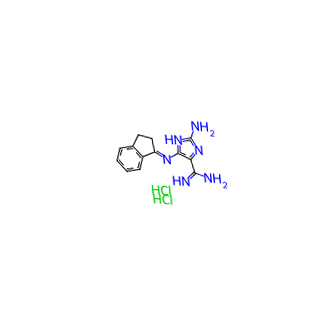 Cl.Cl.N=C(N)c1nc(N)[nH]c1N=C1CCc2ccccc21